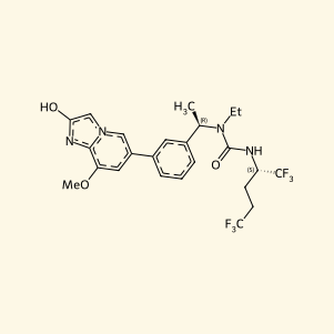 CCN(C(=O)N[C@@H](CCC(F)(F)F)C(F)(F)F)[C@H](C)c1cccc(-c2cc(OC)c3nc(O)cn3c2)c1